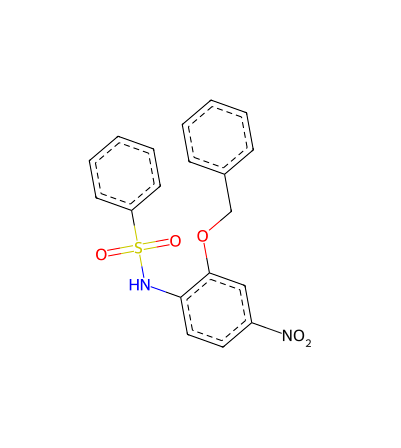 O=[N+]([O-])c1ccc(NS(=O)(=O)c2ccccc2)c(OCc2ccccc2)c1